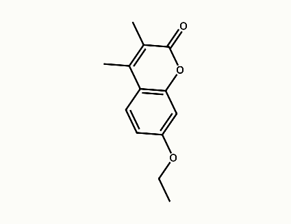 CCOc1ccc2c(C)c(C)c(=O)oc2c1